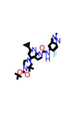 Cn1cc2cc(NC(=O)N3CCc4c(N5CCN(C(=O)OC(C)(C)C)C(C)(C)C5)cc(C5CC5)nc43)c(F)cc2n1